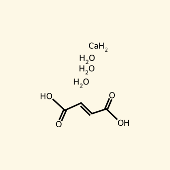 O.O.O.O=C(O)/C=C/C(=O)O.[CaH2]